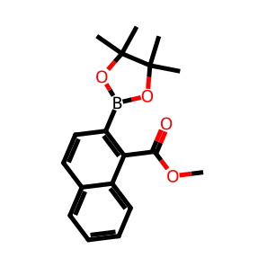 COC(=O)c1c(B2OC(C)(C)C(C)(C)O2)ccc2ccccc12